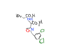 CC(C)CC(NCC(C(=O)O)c1coc(Cc2cc(Cl)cc(Cl)c2)n1)C(=O)O